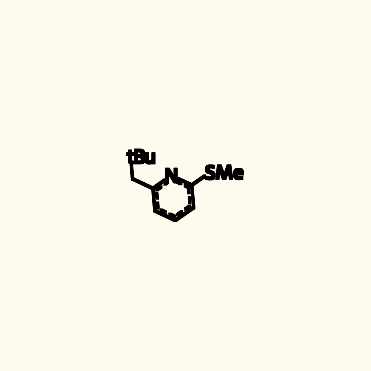 CSc1cccc(CC(C)(C)C)n1